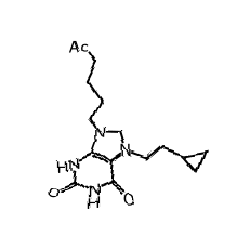 CC(=O)CCCCN1CN(CCC2CC2)c2c1[nH]c(=O)[nH]c2=O